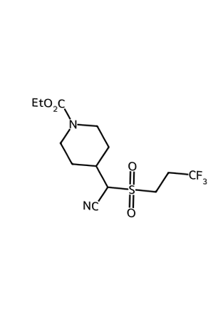 CCOC(=O)N1CCC(C(C#N)S(=O)(=O)CCC(F)(F)F)CC1